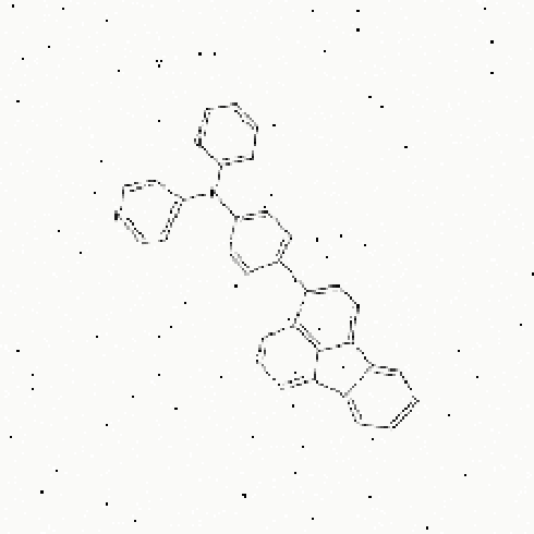 c1ccc(N(c2ccncc2)c2ccc(-c3ccc4c5c(cccc35)-c3ccccc3-4)cc2)nc1